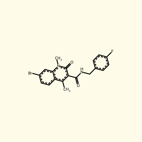 Cc1c(C(=O)NCc2ccc(F)cc2)c(=O)n(C)c2cc(Br)ccc12